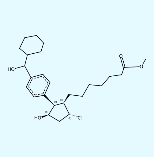 COC(=O)CCCCCC[C@@H]1[C@H](c2ccc(C(O)C3CCCCC3)cc2)[C@H](O)C[C@H]1Cl